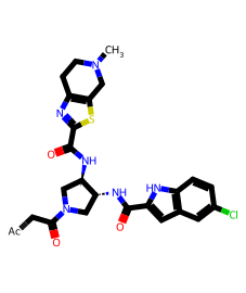 CC(=O)CC(=O)N1C[C@@H](NC(=O)c2cc3cc(Cl)ccc3[nH]2)[C@H](NC(=O)c2nc3c(s2)CN(C)CC3)C1